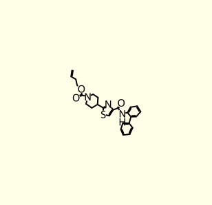 C=CCCOC(=O)N1CCC(c2nc(C(=O)Nc3ccccc3-c3ccccc3)cs2)CC1